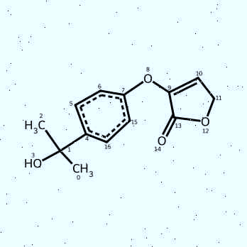 CC(C)(O)c1ccc(OC2=CCOC2=O)cc1